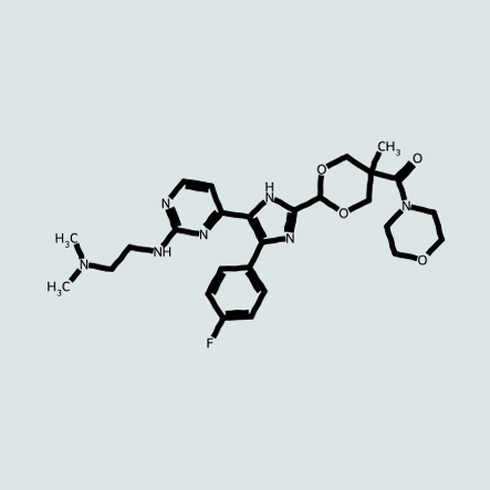 CN(C)CCNc1nccc(-c2[nH]c(C3OCC(C)(C(=O)N4CCOCC4)CO3)nc2-c2ccc(F)cc2)n1